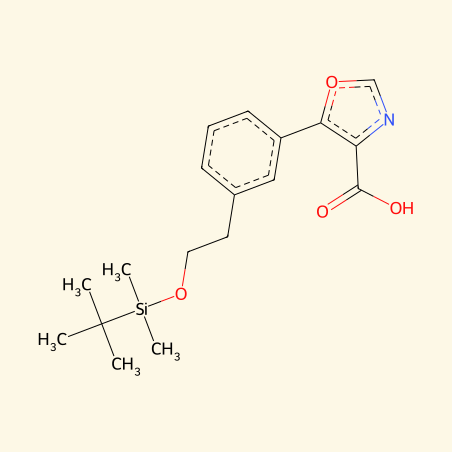 CC(C)(C)[Si](C)(C)OCCc1cccc(-c2ocnc2C(=O)O)c1